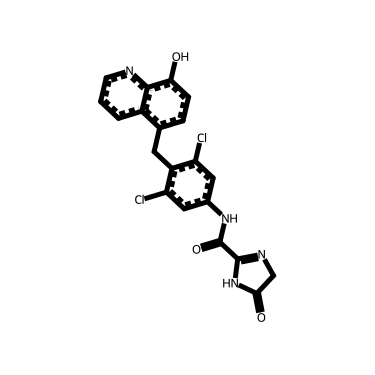 O=C1CN=C(C(=O)Nc2cc(Cl)c(Cc3ccc(O)c4ncccc34)c(Cl)c2)N1